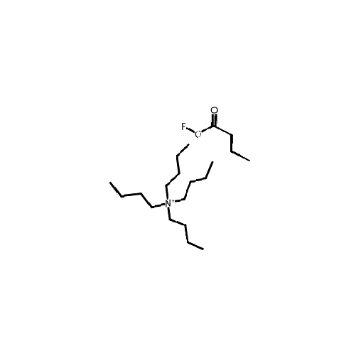 CCCC(=O)OF.CCCC[N+](CCCC)(CCCC)CCCC